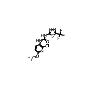 COc1ccc(NC(=O)Nc2nnc(C(F)(F)F)s2)c(Cl)n1